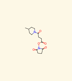 CC1CCN(C(=O)CCC(=O)ON2C(=O)CCC2=O)CC1